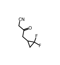 N#CCC(=O)CC1CC1(F)F